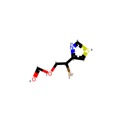 O=COCC(Br)c1cscn1